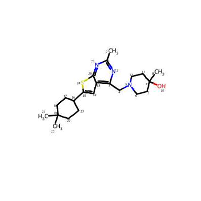 Cc1nc(CN2CCC(C)(O)CC2)c2cc(C3CCC(C)(C)CC3)sc2n1